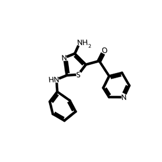 Nc1nc(Nc2ccccc2)sc1C(=O)c1ccncc1